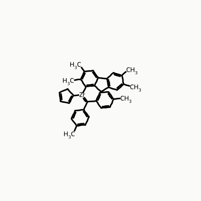 Cc1ccc([C](c2ccc(C)cc2)=[Zr]([C]2=CC=CC2)[c]2c(C)c(C)cc3c2Cc2cc(C)c(C)cc2-3)cc1